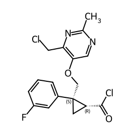 Cc1ncc(OC[C@@]2(c3cccc(F)c3)C[C@H]2C(=O)Cl)c(CCl)n1